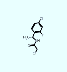 C[C@@H](NC(=O)CCl)c1ccc(Cl)cc1F